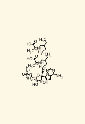 CCC(CC)CN[C@@H](C)C(=O)O.CCC(CC)CN[C@@H](C)C(=O)O.N#C[C@]1(c2ccc3c(N)ncnn23)O[C@H](COP(N)(N)=O)[C@@H](O)[C@H]1O